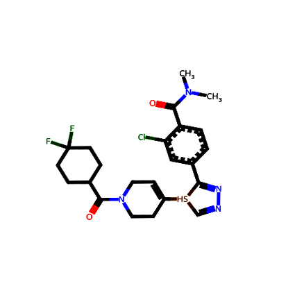 CN(C)C(=O)c1ccc(C2=NN=C[SH]2C2=CCN(C(=O)C3CCC(F)(F)CC3)CC2)cc1Cl